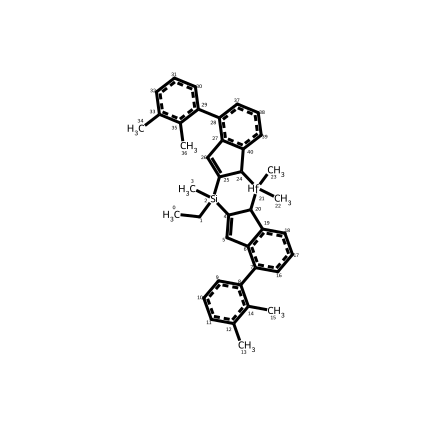 CC[Si]1(C)C2=Cc3c(-c4cccc(C)c4C)cccc3[CH]2[Hf]([CH3])([CH3])[CH]2C1=Cc1c(-c3cccc(C)c3C)cccc12